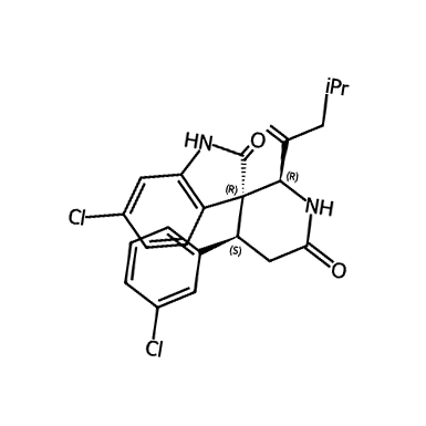 C=C(CC(C)C)[C@H]1NC(=O)C[C@@H](c2cccc(Cl)c2)[C@]12C(=O)Nc1cc(Cl)ccc12